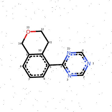 [c]1ncnc(-c2cccc3c2CCOC3)n1